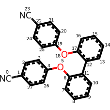 N#Cc1ccc(Oc2ccccc2-c2ccccc2Oc2ccc(C#N)cc2)cc1